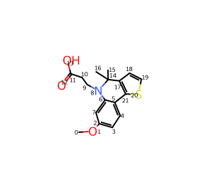 COc1ccc2c(c1)N(CCC(=O)O)C(C)(C)c1ccsc1-2